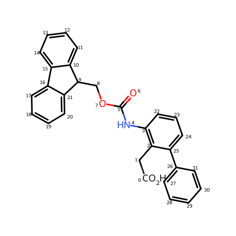 O=C(O)Cc1c(NC(=O)OCC2c3ccccc3-c3ccccc32)cccc1-c1ccccc1